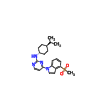 CC(C)[C@H]1CC[C@H](Nc2nccc(-n3ccc4c(S(C)(=O)=O)cccc43)n2)CC1